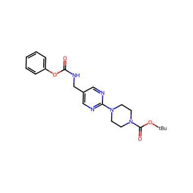 CC(C)(C)OC(=O)N1CCN(c2ncc(CNC(=O)Oc3ccccc3)cn2)CC1